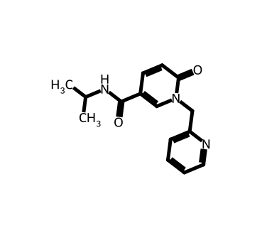 CC(C)NC(=O)c1ccc(=O)n(Cc2ccccn2)c1